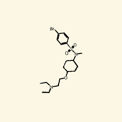 CCN(CC)CCOC1CCC(N(C)S(=O)(=O)c2ccc(Br)cc2)CC1